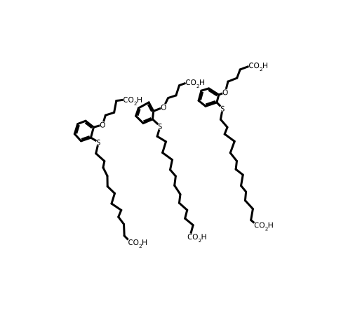 O=C(O)CCCCCCCCCCCCCSc1ccccc1OCCCC(=O)O.O=C(O)CCCCCCCCCCCCSc1ccccc1OCCCC(=O)O.O=C(O)CCCCCCCCCCCSc1ccccc1OCCCC(=O)O